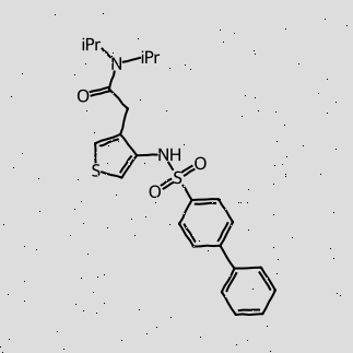 CC(C)N(C(=O)Cc1cscc1NS(=O)(=O)c1ccc(-c2ccccc2)cc1)C(C)C